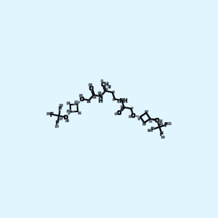 C=C(CCNC(=O)CO[C@H]1C[C@H](OC(F)(F)F)C1)NC(=O)CO[C@H]1C[C@@H](OC(F)(F)F)C1